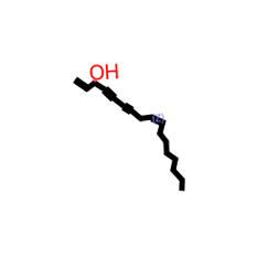 C=CC(O)C#CC#CC/C=C\CCCCCCC